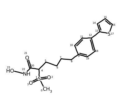 CS(=O)(=O)C(CCCCc1ccc(-c2cccs2)cc1)C(=O)NO